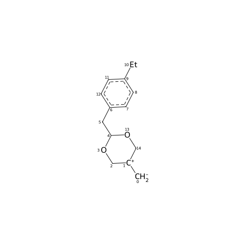 [CH2-][C+]1COC(Cc2ccc(CC)cc2)OC1